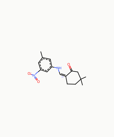 Cc1cc(N/C=C2/CCC(C)(C)CC2=O)cc([N+](=O)[O-])c1